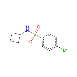 O=S(=O)(NC1CCC1)c1ccc(Br)cc1